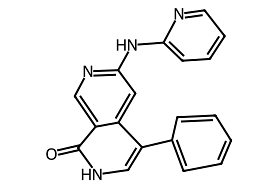 O=c1[nH]cc(-c2ccccc2)c2cc(Nc3ccccn3)ncc12